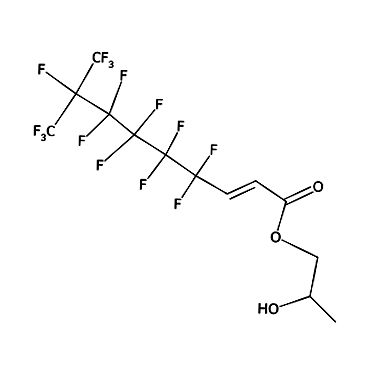 CC(O)COC(=O)C=CC(F)(F)C(F)(F)C(F)(F)C(F)(F)C(F)(C(F)(F)F)C(F)(F)F